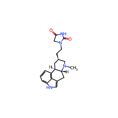 CN1C[C@H](CCN2CC(=O)NC2=O)C[C@@H]2c3cccc4[nH]cc(c34)C[C@H]21